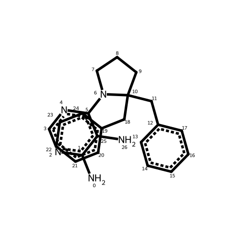 Nc1ncnc(N2CCCC2(Cc2ccccc2)Cc2ccccc2)c1N